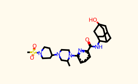 CC1CN(C2CCN(S(C)(=O)=O)CC2)CCN1c1cccc(C(=O)NC2C3CC4CC2CC(O)(C4)C3)n1